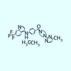 CC.Cc1ccnc(N2CCN(C(=O)c3ccc(Nc4ccnc5cc(C(F)(F)F)ccc45)cc3)CC2)n1